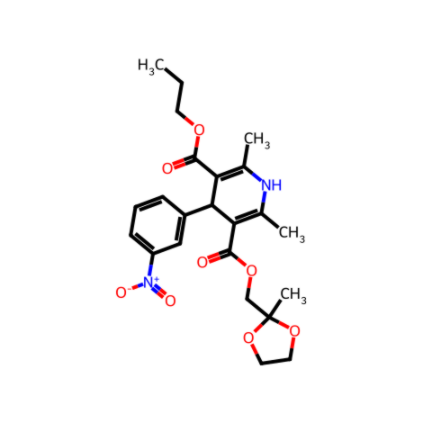 CCCOC(=O)C1=C(C)NC(C)=C(C(=O)OCC2(C)OCCO2)C1c1cccc([N+](=O)[O-])c1